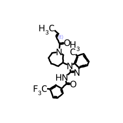 C/C=C/C(=O)N1CCCCC(n2c(NC(=O)c3cccc(C(F)(F)F)c3)nc3cccc(C)c32)C1